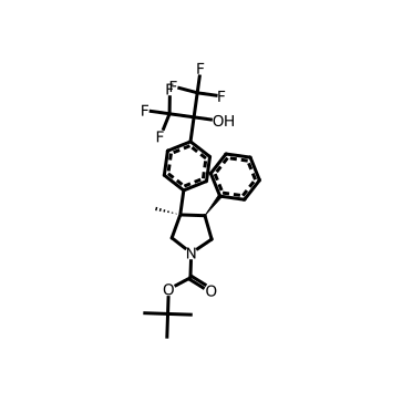 CC(C)(C)OC(=O)N1C[C@H](c2ccccc2)[C@](C)(c2ccc(C(O)(C(F)(F)F)C(F)(F)F)cc2)C1